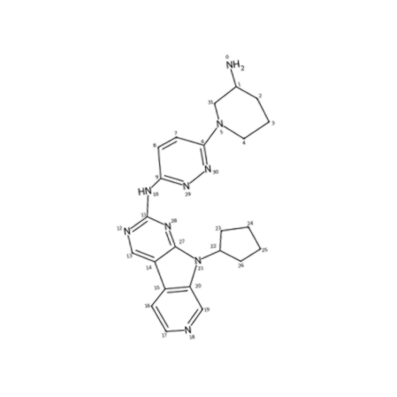 NC1CCCN(c2ccc(Nc3ncc4c5ccncc5n(C5CCCC5)c4n3)nn2)C1